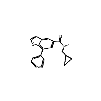 CN(CC1CC1)C(=O)c1cc(-c2ccccc2)c2sccc2c1